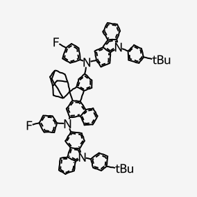 CC(C)(C)c1ccc(-n2c3ccccc3c3cc(N(c4ccc(F)cc4)c4ccc5c(c4)C4(c6cc(N(c7ccc(F)cc7)c7ccc8c(c7)c7ccccc7n8-c7ccc(C(C)(C)C)cc7)c7ccccc7c6-5)C5CC6CC(C5)CC4C6)ccc32)cc1